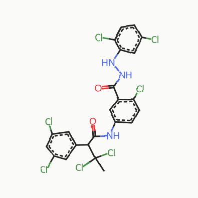 CC(Cl)(Cl)C(C(=O)Nc1ccc(Cl)c(C(=O)NNc2cc(Cl)ccc2Cl)c1)c1cc(Cl)cc(Cl)c1